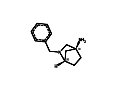 N[C@@]12CC[C@@H](C1)N(Cc1ccccc1)C2